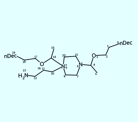 CCCCCCCCCCCCOC(C)N1CC[N+](CCCN)(C(C)OCCCCCCCCCCCC)CC1